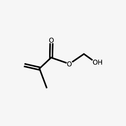 C=C(C)C(=O)OCO